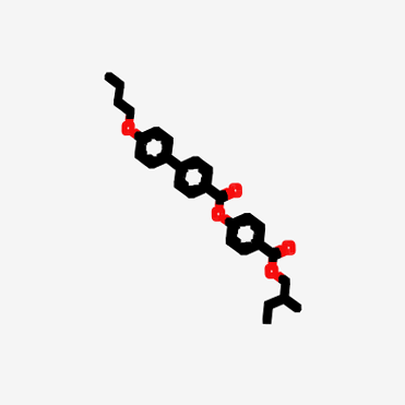 CCCCOc1ccc(-c2ccc(C(=O)Oc3ccc(C(=O)OCC(C)CC)cc3)cc2)cc1